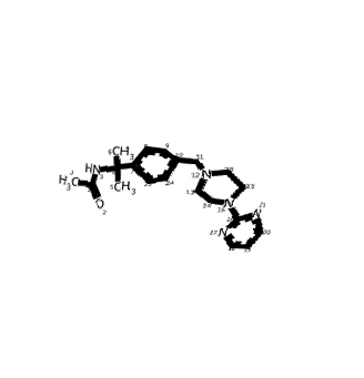 CC(=O)NC(C)(C)c1ccc(CN2CCN(c3ncccn3)CC2)cc1